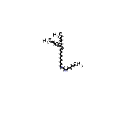 CCCCC/C=C\C/C=C\CCCCCCCCOC(COCCCC)COCCCC